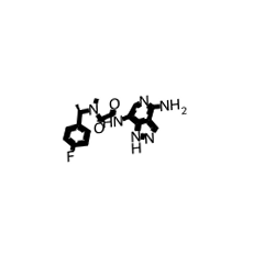 C[C@H](c1ccc(F)cc1)N(C)C(=O)C(=O)Nc1cnc(N)c2cn[nH]c12